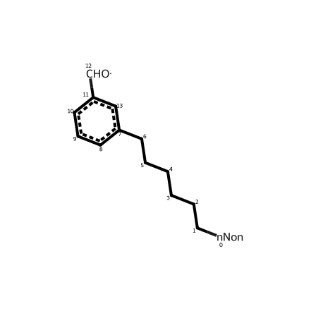 CCCCCCCCCCCCCCCc1cccc([C]=O)c1